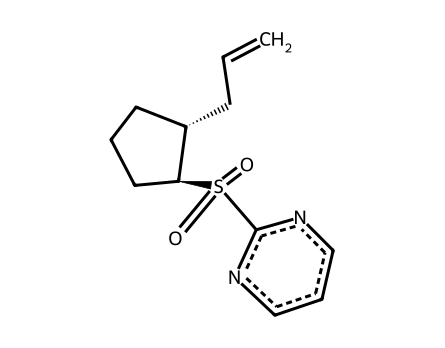 C=CC[C@H]1CCC[C@@H]1S(=O)(=O)c1ncccn1